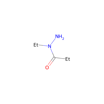 [CH2]CC(=O)N(N)CC